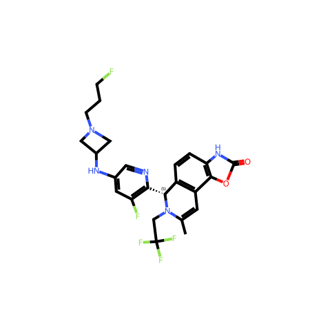 CC1=Cc2c(ccc3[nH]c(=O)oc23)[C@@H](c2ncc(NC3CN(CCCF)C3)cc2F)N1CC(F)(F)F